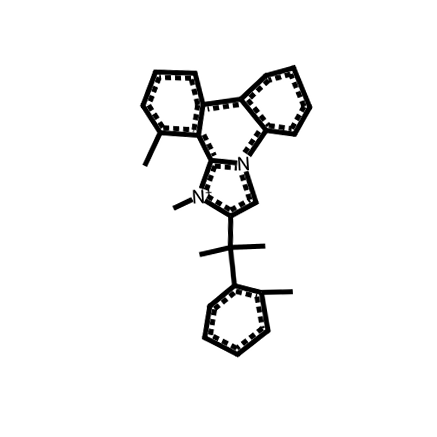 Cc1ccccc1C(C)(C)c1cn2c3ccccc3c3cccc(C)c3c2[n+]1C